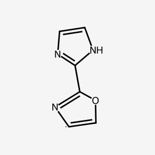 [c]1coc(-c2ncc[nH]2)n1